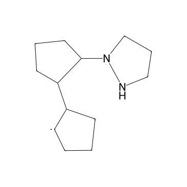 [CH]1CCCC1C1CCCC1N1CCCN1